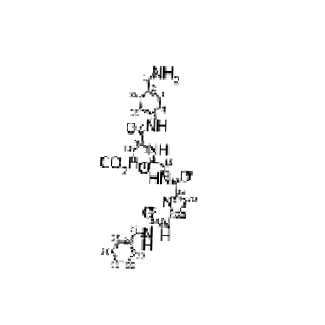 NCc1ccc(NC(=O)[C@H](CC(=O)O)NC(=O)CNC(=O)c2csc(NC(=O)NCc3ccccc3)n2)cc1